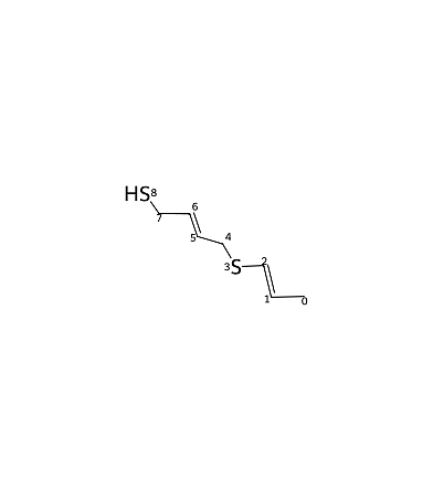 CC=CSCC=CCS